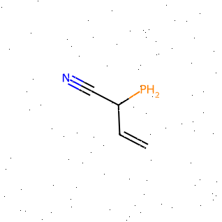 C=CC(P)C#N